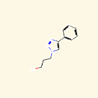 OCCCn1cc(-c2ccccc2)nn1